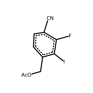 CC(=O)OCc1ccc(C#N)c(F)c1I